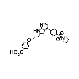 O=C(O)c1ccc(OCCCc2cc3c(-c4ccc(S(=O)(=O)N5CCCC5)cc4)ccnc3[nH]2)cc1